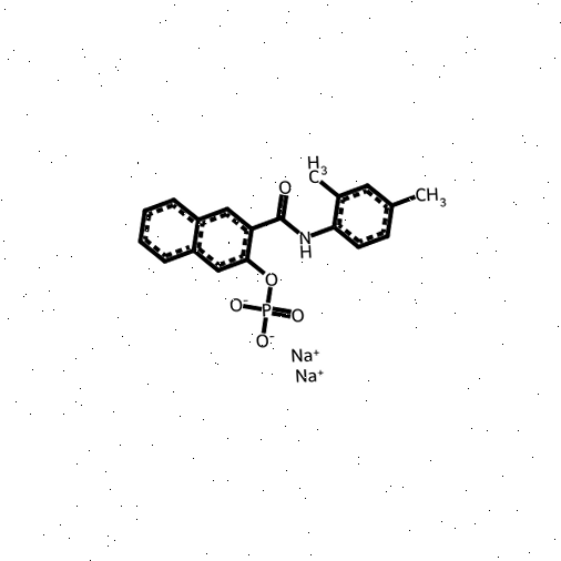 Cc1ccc(NC(=O)c2cc3ccccc3cc2OP(=O)([O-])[O-])c(C)c1.[Na+].[Na+]